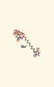 O=C(CCCCCCCCCCN1C(=O)C=CC1=O)ON1C(=O)CC(S(=O)(=O)[O-])C1=O.[Na+]